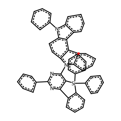 c1ccc(-c2nc3c(c(-n4c5ccccc5c5c6c7ccccc7n(-c7ccccc7)c6ccc54)n2)[Si](c2ccccc2)(c2ccccc2)c2ccccc2-3)cc1